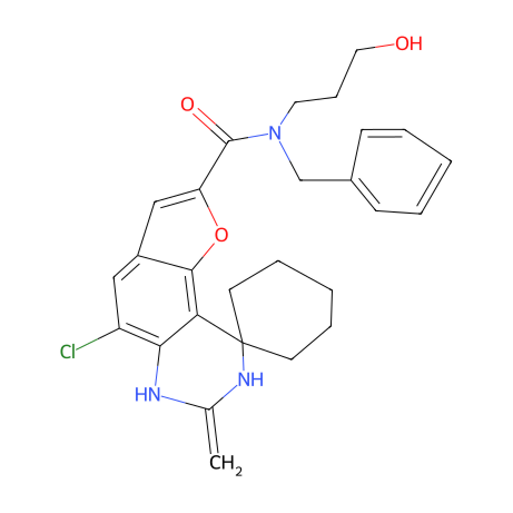 C=C1Nc2c(Cl)cc3cc(C(=O)N(CCCO)Cc4ccccc4)oc3c2C2(CCCCC2)N1